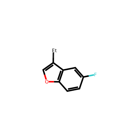 [CH2]Cc1coc2ccc(F)cc12